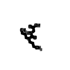 CCCCN(CCCC)C(=O)NCC(=O)O